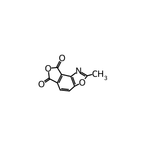 Cc1nc2c3c(ccc2o1)C(=O)OC3=O